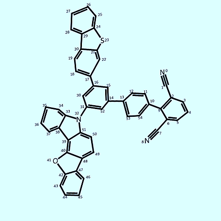 N#Cc1cccc(C#N)c1-c1ccc(-c2cc(-c3ccc4c(c3)sc3ccccc34)cc(-n3c4ccccc4c4c5oc6ccccc6c5ccc43)c2)cc1